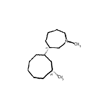 C[C@@H]1CCCCCC([C@@H]2CCCCN(C)C2)C1